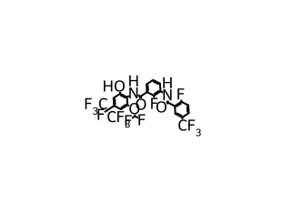 O=C(Nc1cccc(C(=O)Nc2c(O)cc(C(F)(C(F)(F)F)C(F)(F)F)cc2OC(F)F)c1F)c1cc(C(F)(F)F)ccc1F